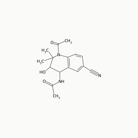 CC(=O)NC1c2cc(C#N)ccc2N(C(C)=O)C(C)(C)C1O